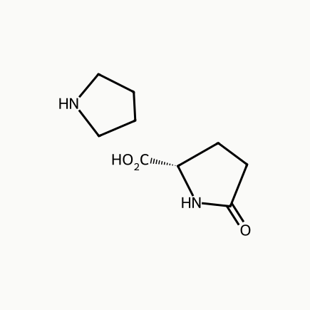 C1CCNC1.O=C1CC[C@@H](C(=O)O)N1